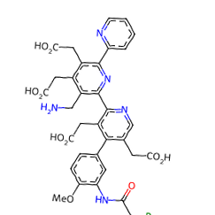 COc1ccc(-c2c(CC(=O)O)cnc(-c3nc(-c4ccccn4)c(CC(=O)O)c(CC(=O)O)c3CN)c2CC(=O)O)cc1NC(=O)CBr